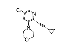 Clc1cnc(C#CC2CC2)c(N2CCOCC2)c1